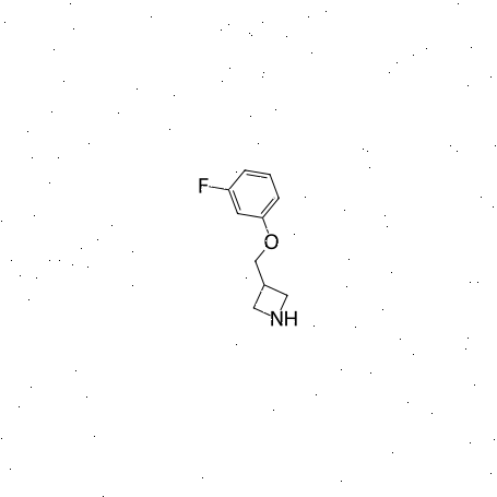 Fc1cccc(OCC2CNC2)c1